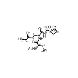 CCOC(=O)C(NC(=O)[C@H](CCC(=O)C=N)NC(=O)[C@H](CC(C)C)NC(C)=O)C1CCC1